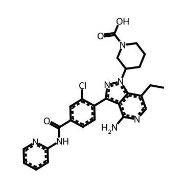 CCc1cnc(N)c2c(-c3ccc(C(=O)Nc4ccccn4)cc3Cl)nn(C3CCCN(C(=O)O)C3)c12